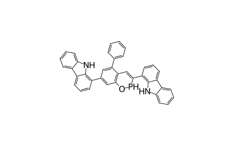 C1=C(c2cccc3c2[nH]c2ccccc23)POc2cc(-c3cccc4c3[nH]c3ccccc34)cc(-c3ccccc3)c21